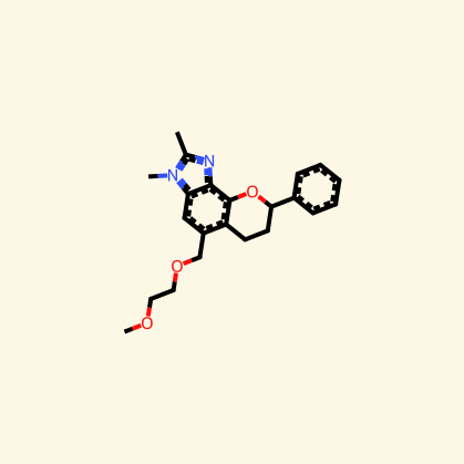 COCCOCc1cc2c(nc(C)n2C)c2c1CCC(c1ccccc1)O2